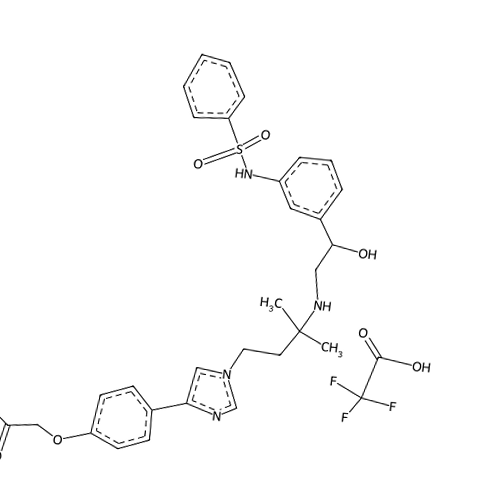 CC(C)(CCn1cnc(-c2ccc(OCC(=O)O)cc2)c1)NCC(O)c1cccc(NS(=O)(=O)c2ccccc2)c1.O=C(O)C(F)(F)F